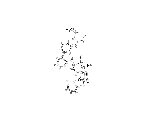 CN1CCCC(Nc2nccc(-c3cccnc3Oc3ccc(NS(=O)(=O)Cc4ccccc4)c(F)c3F)n2)C1